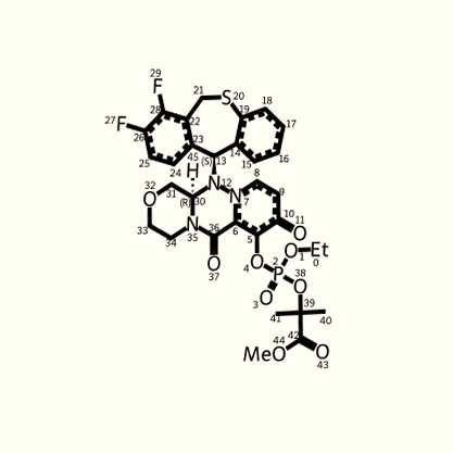 CCOP(=O)(Oc1c2n(ccc1=O)N([C@@H]1c3ccccc3SCc3c1ccc(F)c3F)[C@@H]1COCCN1C2=O)OC(C)(C)C(=O)OC